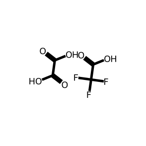 O=C(O)C(=O)O.O=C(O)C(F)(F)F